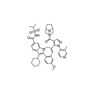 COc1ccc2c(c1)C=C(c1c(C(=O)N3CC4CCC(C3)N4C)cnn1-c1ccncc1C)Cn1c-2c(C2CCCCC2)c2ccc(C(=O)NS(=O)(=O)C(C)C)cc21